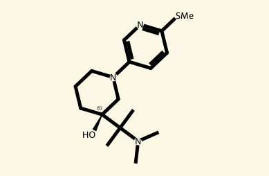 CSc1ccc(N2CCC[C@@](O)(C(C)(C)N(C)C)C2)cn1